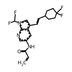 C=CC(=O)Nc1cnc2c(c1)c(/C=C/C1CCC(F)(F)CC1)cn2C(F)F